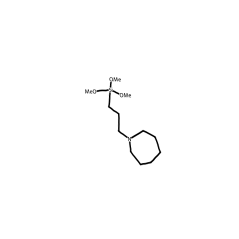 CO[Si](CCCN1CCCCCC1)(OC)OC